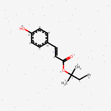 CC(C)CC(C)(C)OC(=O)/C=C/c1ccc(O)cc1